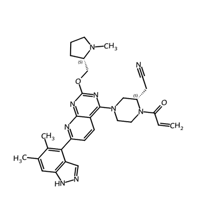 C=CC(=O)N1CCN(c2nc(OC[C@@H]3CCCN3C)nc3nc(-c4c(C)c(C)cc5[nH]ncc45)ccc23)C[C@@H]1CC#N